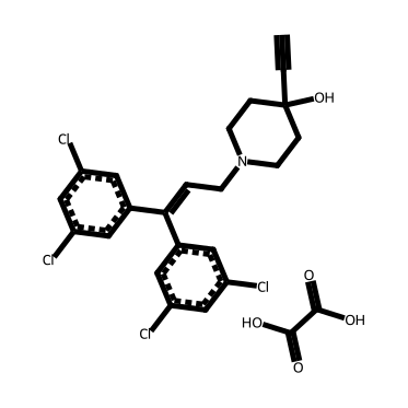 C#CC1(O)CCN(CC=C(c2cc(Cl)cc(Cl)c2)c2cc(Cl)cc(Cl)c2)CC1.O=C(O)C(=O)O